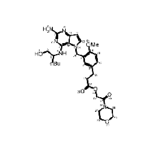 CCCCC(CO)Nc1nc(N)nc2ccn(Cc3cc(CCC(=O)OCC(=O)N4CCOCC4)ccc3OC)c12